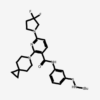 CC(C)(C)NSc1cccc(NC(=O)c2ccc(N3CCC(F)(F)C3)nc2N2CCC3(CC2)CC3)c1